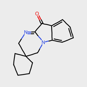 O=C1C2=NCC3(CCCCC3)CN2c2ccccc21